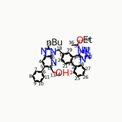 CCCCc1nc2cc(-c3ccccc3)c(CO)nc2n1Cc1ccc(-c2ccccc2)c(-c2nnnn2C(C)OCC)c1